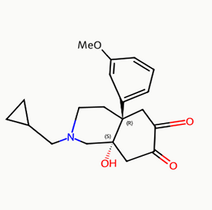 COc1cccc([C@]23CCN(CC4CC4)C[C@]2(O)CC(=O)C(=O)C3)c1